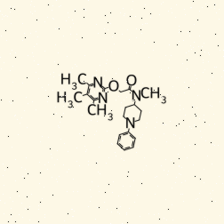 Cc1nc(OCC(=O)N(C)C2CCN(c3ccccc3)CC2)nc(C)c1C